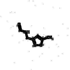 Cc1cc(CNC=O)no1